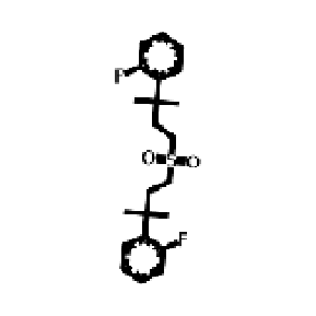 CC(C)(CCS(=O)(=O)CCC(C)(C)c1ccccc1F)c1ccccc1F